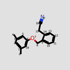 Cc1cc(C)cc(OCc2ccccc2CC#N)c1